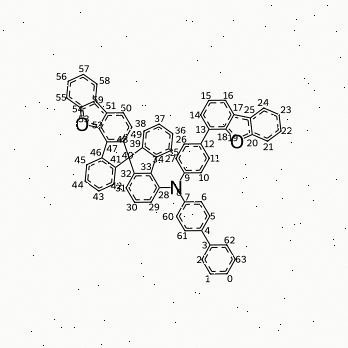 c1ccc(-c2ccc(N(c3ccc(-c4cccc5c4oc4ccccc45)cc3)c3cccc4c3-c3ccccc3C43c4ccccc4-c4c3ccc3c4oc4ccccc43)cc2)cc1